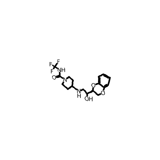 O=C(NC(F)(F)F)N1CCC(NCC(O)C2COc3ccccc3O2)CC1